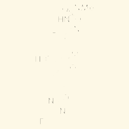 CNS(=O)(=O)Nc1nccc(Cc2c(C)c3ccc(Oc4ncc(F)cn4)cc3oc2=O)c1F